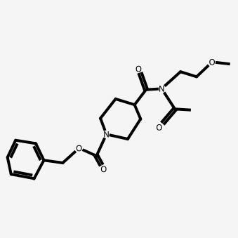 COCCN(C(C)=O)C(=O)C1CCN(C(=O)OCc2ccccc2)CC1